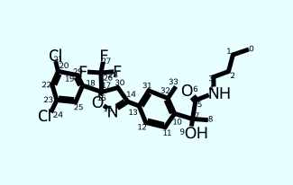 CCCCNC(=O)C(C)(O)c1ccc(C2=NOC(c3cc(Cl)cc(Cl)c3)(C(F)(F)F)C2)cc1C